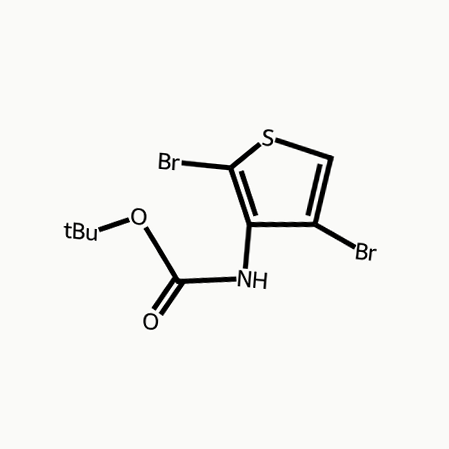 CC(C)(C)OC(=O)Nc1c(Br)csc1Br